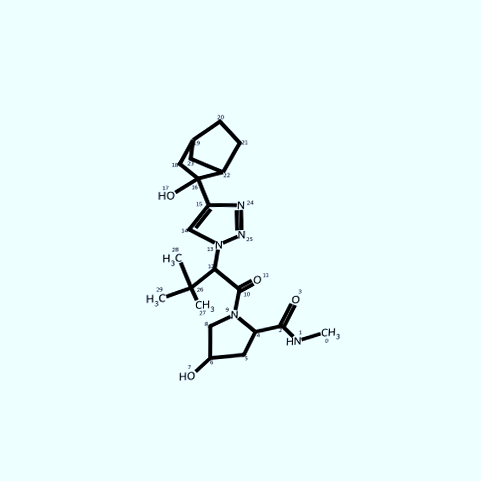 CNC(=O)C1CC(O)CN1C(=O)C(n1cc(C2(O)CC3CCC2C3)nn1)C(C)(C)C